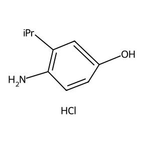 CC(C)c1cc(O)ccc1N.Cl